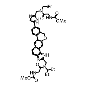 CCC(CC)N(Cc1nc2ccc3cc4c(cc3c2[nH]1)OCc1cc(-c2cnc(CN(CC(C)C)C(=O)CNC(=O)OC)[nH]2)ccc1-4)C(=O)CNC(=O)OC